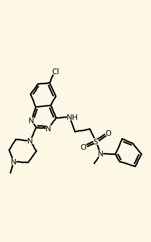 CN1CCN(c2nc(NCCS(=O)(=O)N(C)c3ccccc3)c3cc(Cl)ccc3n2)CC1